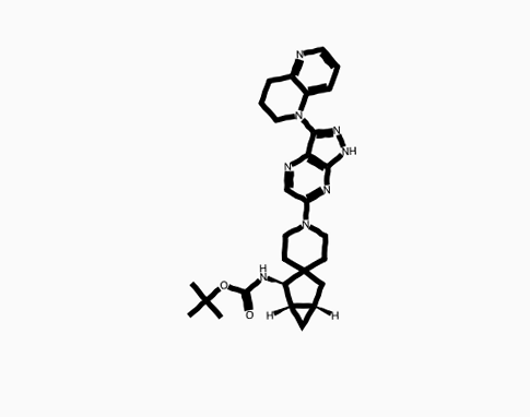 CC(C)(C)OC(=O)N[C@@H]1[C@H]2C[C@H]2CC12CCN(c1cnc3c(N4CCCc5ncccc54)n[nH]c3n1)CC2